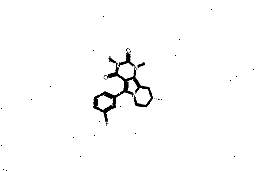 C[C@@H]1CCn2c(-c3cccc(F)c3)c3c(=O)n(C)c(=O)n(C)c3c2C1